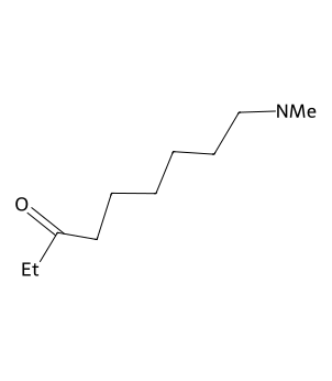 CCC(=O)CCCCCCNC